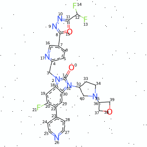 O=c1n(Cc2ccc(-c3nnc(C(F)F)o3)cn2)c2cc(F)c(-c3ccncc3)cc2n1C1CCN(C2COC2)C1